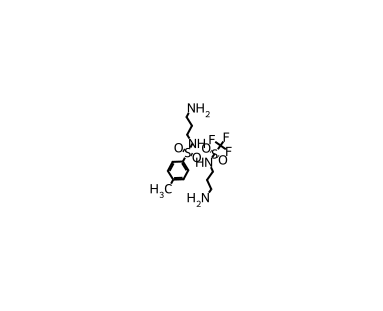 Cc1ccc(S(=O)(=O)NCCCN)cc1.NCCCNS(=O)(=O)C(F)(F)F